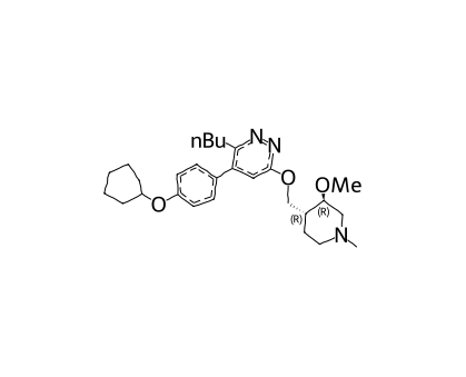 CCCCc1nnc(OC[C@H]2CCN(C)C[C@@H]2OC)cc1-c1ccc(OC2CCCCC2)cc1